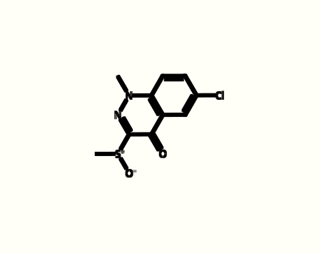 Cn1nc([S+](C)[O-])c(=O)c2cc(Cl)ccc21